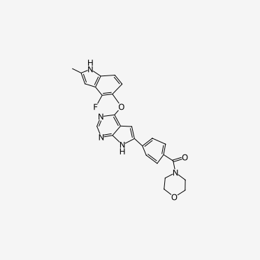 Cc1cc2c(F)c(Oc3ncnc4[nH]c(-c5ccc(C(=O)N6CCOCC6)cc5)cc34)ccc2[nH]1